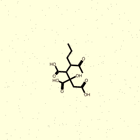 CCCC(C(C)=O)C(C(=O)O)C(O)(CC(=O)O)C(=O)O